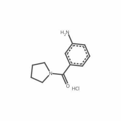 Cl.Nc1cccc(C(=O)N2CCCC2)c1